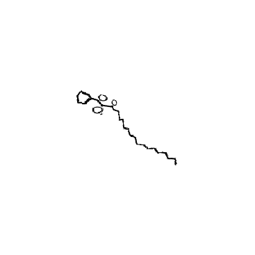 CCCCCCCCCCCCCCCCCC(=O)C(OC)C(=O)c1ccccc1